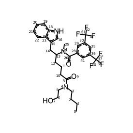 CCCCN(CCO)C(=O)CCCC(Cc1c[nH]c2ccccc12)N(C)C(=O)c1cc(C(F)(F)F)cc(C(F)(F)F)c1